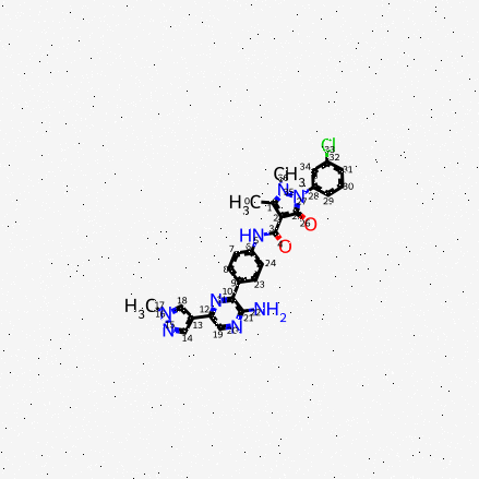 Cc1c(C(=O)Nc2ccc(-c3nc(-c4cnn(C)c4)cnc3N)cc2)c(=O)n(-c2cccc(Cl)c2)n1C